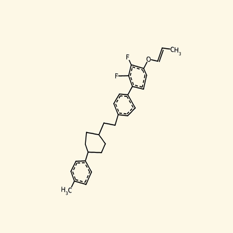 C/C=C/Oc1ccc(-c2ccc(CCC3CCC(c4ccc(C)cc4)CC3)cc2)c(F)c1F